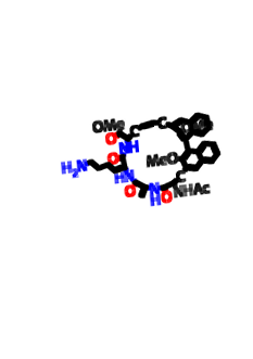 C=C1NC(=O)C(NC(C)=O)Cc2cc3ccccc3c(c2OC)-c2c(OC)c(cc3ccccc23)CC=CCC(C(=O)OC)NC(=O)/C(=C\CCCN)NC1=O